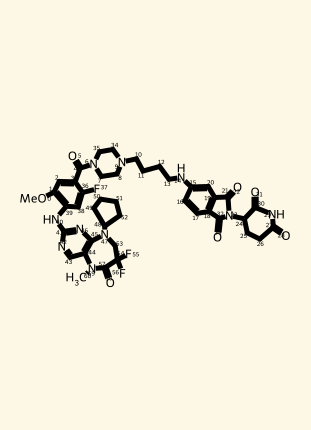 COc1cc(C(=O)N2CCN(CCCCNc3ccc4c(c3)C(=O)N(C3CCC(=O)NC3=O)C4=O)CC2)c(F)cc1Nc1ncc2c(n1)N(C1CCCC1)CC(F)(F)C(=O)N2C